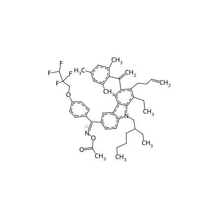 C=CCCc1c(C(=C)c2c(C)cc(C)cc2C)cc2c3cc(/C(=N\OC(C)=O)c4ccc(OCC(F)(F)C(F)F)cc4)ccc3n(CC(CC)CCCC)c2c1CC